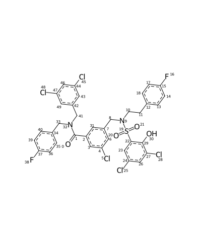 O=C(c1cc(Cl)cc(CN(CCc2ccc(F)cc2)S(=O)(=O)c2cc(Cl)cc(Cl)c2O)c1)N(Cc1ccc(F)cc1)Cc1cc(Cl)cc(Cl)c1